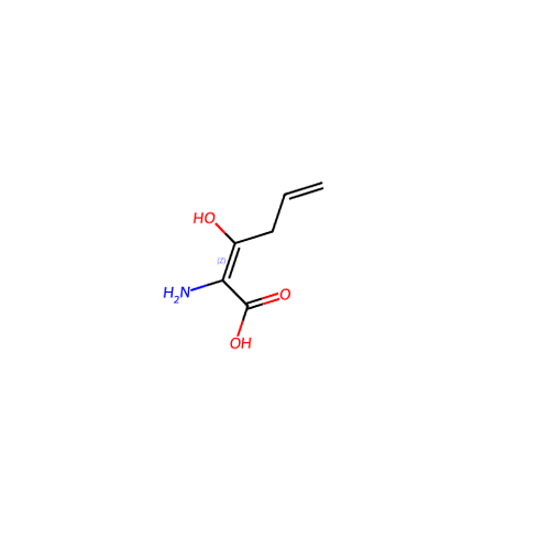 C=CC/C(O)=C(/N)C(=O)O